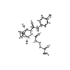 NC(=O)CCOC(=O)[C@H]1[C@H](C(=O)Nc2ccc(Br)nc2)[C@@H]2CC[C@H]1C21CC1